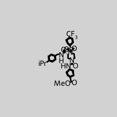 COC(=O)c1ccc(NC(=O)N2CCN(S(=O)(=O)c3ccc(C(F)(F)F)cc3)[C@@H](C(=O)NCc3ccc(C(C)C)cc3)C2)cc1